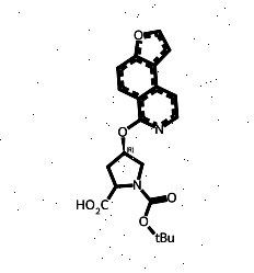 CC(C)(C)OC(=O)N1C[C@H](Oc2nccc3c2ccc2occc23)CC1C(=O)O